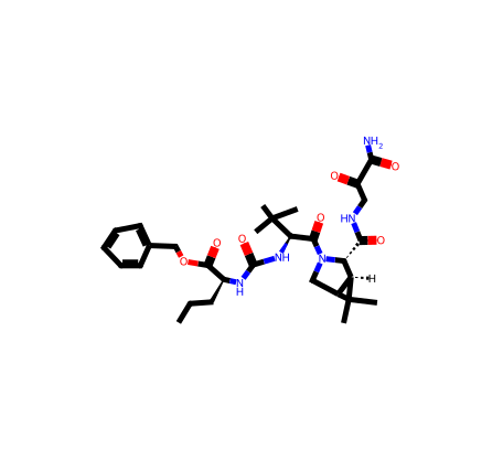 CCC[C@H](NC(=O)N[C@H](C(=O)N1CC2[C@@H]([C@H]1C(=O)NCC(=O)C(N)=O)C2(C)C)C(C)(C)C)C(=O)OCc1ccccc1